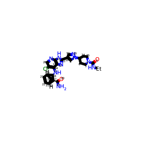 CCNC(=O)N1CCC(n2cc(-c3nc4c(N[C@H]5[C@@H](C(N)=O)[C@@H]6C=C[C@H]5C6)c(Cl)cnc4[nH]3)cn2)CC1